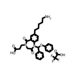 NCCCCCc1ccc2c(c1)C(=O)N(CCC(=O)O)CC(=O)N2C(Oc1ccccc1)c1ccccc1.O=C(O)C(F)(F)F